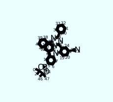 CC1(C)OB(c2ccc3c(c2)c2ccccc2n3-c2ccc(C#N)cc2-c2nc(-c3ccccc3)nc(-c3ccccc3)n2)OC1(C)C